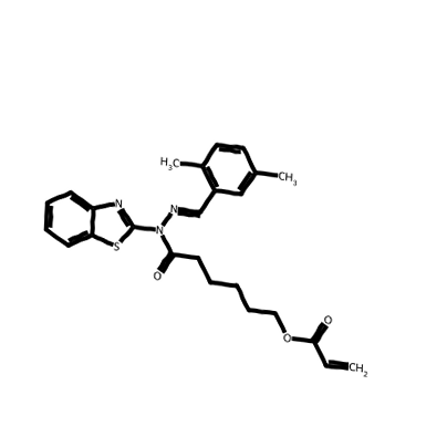 C=CC(=O)OCCCCCC(=O)N(/N=C/c1cc(C)ccc1C)c1nc2ccccc2s1